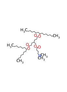 CCCCCCCC(CCCCCCC)OC(=O)CCC(CCC(=O)OC(CCCCCCC)CCCCCCC)COC(=O)CCCN(C)C